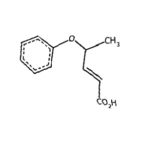 CC(/C=C/C(=O)O)Oc1ccccc1